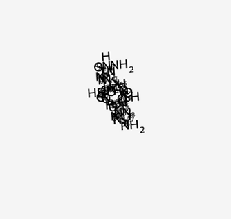 Nc1nc2c(nnn2[C@@H]2S[C@@H]3COP(=O)(S)O[C@H]4[C@H](F)[C@@H](n5nnc6c(N)ccnc65)O[C@@H]4COP(=O)(S)O[C@@H]2[C@@H]3O)c(=O)[nH]1